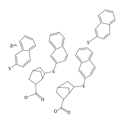 O=C([O-])C1CC2CC(Sc3ccc4ccccc4c3)C1C2.O=C([O-])C1CC2CC(Sc3ccc4ccccc4c3)C1C2.[S-]c1ccc2ccccc2c1.[S-]c1ccc2ccccc2c1.[Zr+4]